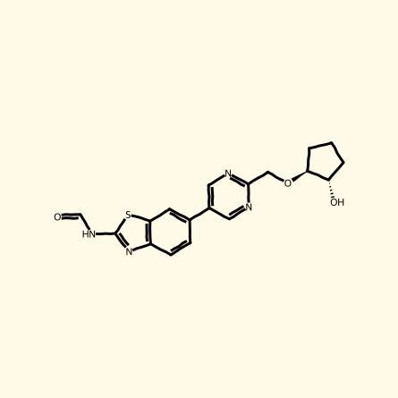 O=CNc1nc2ccc(-c3cnc(CO[C@H]4CCC[C@@H]4O)nc3)cc2s1